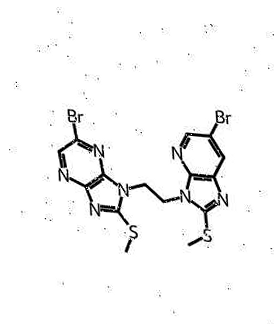 CSc1nc2cc(Br)cnc2n1CCn1c(SC)nc2ncc(Br)nc21